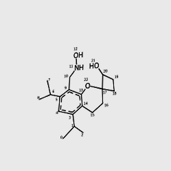 CC(C)c1cc(C(C)C)c(CNO)c2c1CCC1(CCC1O)O2